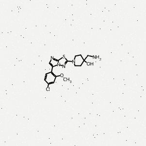 COc1cc(Cl)ccc1-c1cnc2sc(N3CCC(O)(CN)CC3)nn12